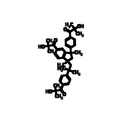 CC(C)(O)C(=O)c1ccc(C(C)(C)CC2(C)CC(C)(c3ccc(C(=O)C(C)(C)O)cc3)c3cc(C(=O)C(C)(C)O)ccc32)cc1